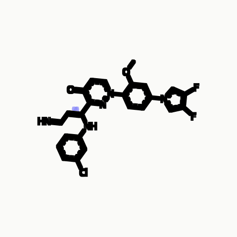 COc1cc(-n2cc(F)c(F)c2)ccc1-n1ccc(=O)c(/C(=C/C=N)Nc2cccc(Cl)c2)n1